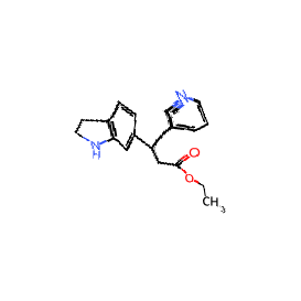 CCOC(=O)CC(c1cccnc1)c1ccc2c(c1)NCC2